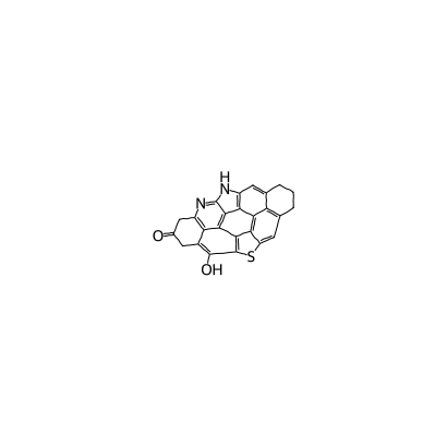 O=C1Cc2nc3[nH]c4cc5c6c(cc7sc8c(O)c(c2c2c3c4c6c7c82)C1)CCC5